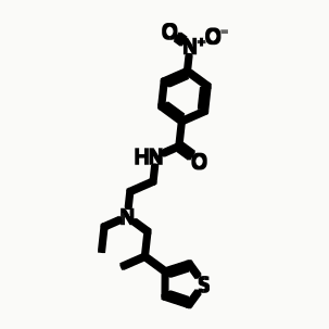 CCN(CCNC(=O)c1ccc([N+](=O)[O-])cc1)CC(C)c1ccsc1